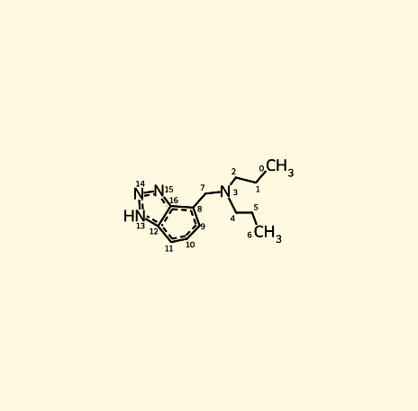 CCCN(CCC)Cc1cccc2[nH]nnc12